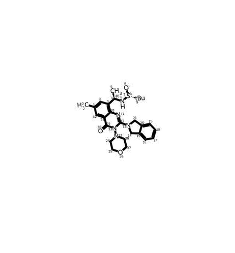 Cc1cc([C@@H](C)N[S@+]([O-])C(C)(C)C)c2nc(N3Cc4ccccc4C3)n(N3CCOCC3)c(=O)c2c1